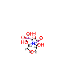 O=P(O)(O)C[N+]1(P(=O)(O)O)CCOCC1